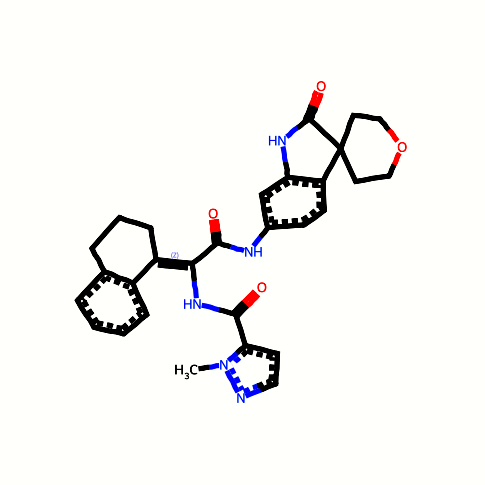 Cn1nccc1C(=O)N/C(C(=O)Nc1ccc2c(c1)NC(=O)C21CCOCC1)=C1/CCCc2ccccc21